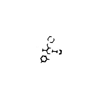 COC(=O)C1=C(CN2CCO[C@@H](C)C2)NC(c2nccs2)=N[C@H]1c1ccc(F)cc1Cl